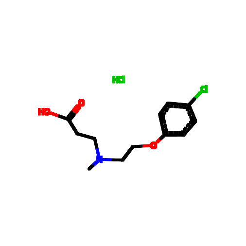 CN(CCOc1ccc(Cl)cc1)CCC(=O)O.Cl